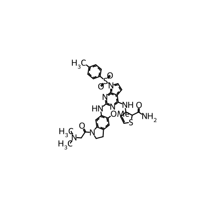 COc1cc2c(cc1Nc1nc(NC3C=CSC3C(N)=O)c3ccn(S(=O)(=O)c4ccc(C)cc4)c3n1)N(C(=O)CN(C)C)CC2